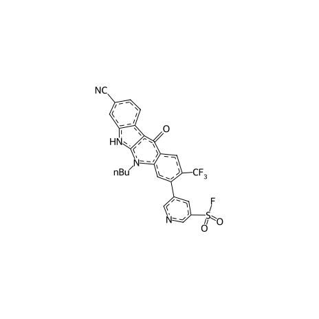 CCCCn1c2cc(-c3cncc(S(=O)(=O)F)c3)c(C(F)(F)F)cc2c(=O)c2c3ccc(C#N)cc3[nH]c21